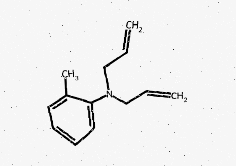 C=CCN(CC=C)c1cc[c]cc1C